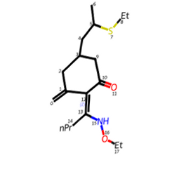 C=C1CC(CC(C)SCC)CC(=O)/C1=C(/CCC)NOCC